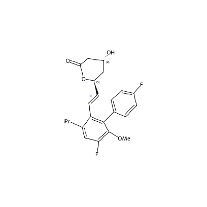 COc1c(F)cc(C(C)C)c(/C=C/[C@@H]2C[C@@H](O)CC(=O)O2)c1-c1ccc(F)cc1